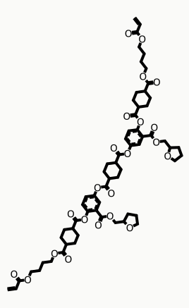 C=CC(=O)OCCCCOC(=O)C1CCC(C(=O)Oc2ccc(OC(=O)C3CCC(C(=O)Oc4ccc(OC(=O)C5CCC(C(=O)OCCCCOC(=O)C=C)CC5)c(C(=O)OCC5CCCO5)c4)CC3)cc2C(=O)OCC2CCCO2)CC1